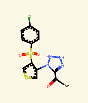 CC(=O)C(=O)C1=NNNN1c1cscc1S(=O)(=O)c1ccc(Cl)cc1